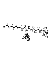 CCCCCCCCCCCCCCCCCC[N+](C)(C)CC.CS(=O)(=O)[O-]